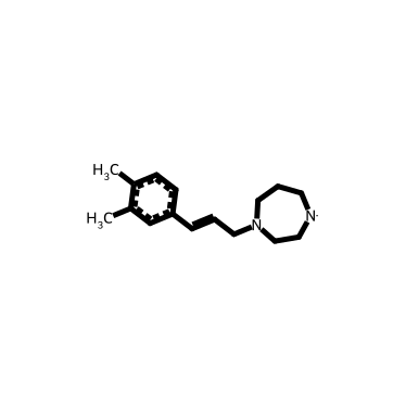 Cc1ccc(C=CCN2CCC[N]CC2)cc1C